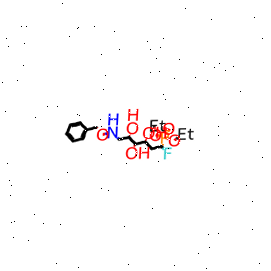 CCOP(=O)(OCC)C(F)C[C@@H](O)[C@@H](O)[C@@H](O)CNOCc1ccccc1